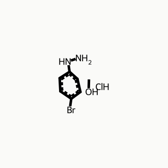 CO.Cl.NNc1ccc(Br)cc1